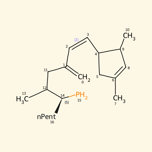 C=C(/C=C\C1CC(C)=CC1C)CC(C)[C@@H](P)CCCCC